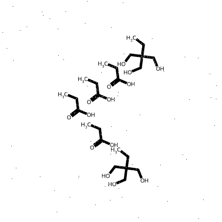 CCC(=O)O.CCC(=O)O.CCC(=O)O.CCC(=O)O.CCC(CO)(CO)CO.CCC(CO)(CO)CO